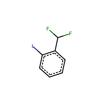 FC(F)c1ccccc1I